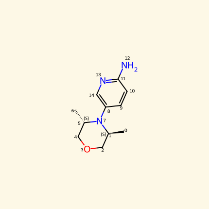 C[C@H]1COC[C@H](C)N1c1ccc(N)nc1